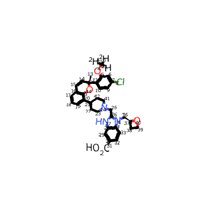 [2H]C([2H])([2H])Oc1cc(Cl)ccc1[C@@]1(C)C=Cc2cccc(C3CCN(CC4Nc5cc(C(=O)O)ccc5N4C[C@@H]4CCO4)CC3)c2O1